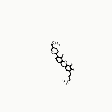 C=CCCc1cc2c(c(F)c1F)Oc1c(ccc(C3CCC(C=C)CO3)c1F)C2